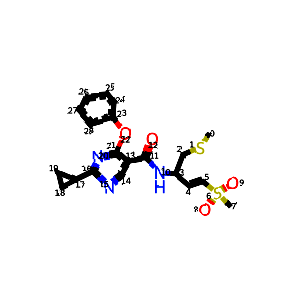 CSCC(C=CS(C)(=O)=O)NC(=O)c1cnc(C2CC2)nc1Oc1ccccc1